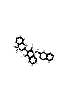 O=c1c(C2=NS(=O)(=O)c3ccccc3N2)c(O)c2ccccc2n1N=C1CCc2ccccc2C1